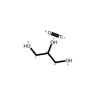 OCC(O)CO.[O]=[Ti]